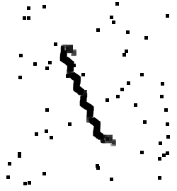 CCCSCCSCCSCCC